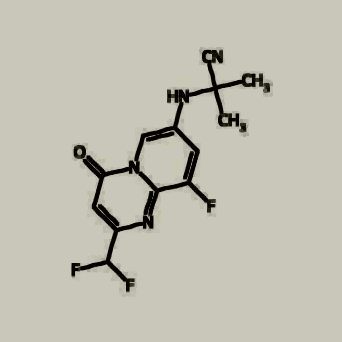 CC(C)(C#N)Nc1cc(F)c2nc(C(F)F)cc(=O)n2c1